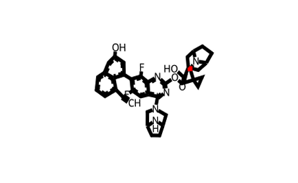 C#Cc1cccc2cc(O)cc(-c3c(F)cc4c(N5CC6CCC(C5)N6)nc(OCC5(CN6C7CCC6CC(C(=O)O)C7)CC5)nc4c3F)c12